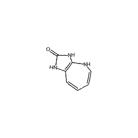 O=c1[nH]c2c([nH]1)NC=CC=C2